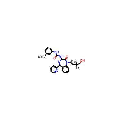 CCC(C)(CO)CCN1C(=O)C(NC(=O)Nc2cccc(NC)c2)N=C(c2ccccn2)c2ccccc21